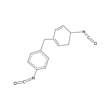 O=C=Nc1ccc(CC2=CCC(N=C=O)C=C2)cc1